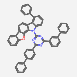 c1ccc(-c2ccc(-c3nc(-c4cccc(-c5ccccc5)c4)nc(-n4c5cccc(-c6ccccc6)c5c5ccc6c7ccccc7oc6c54)n3)cc2)cc1